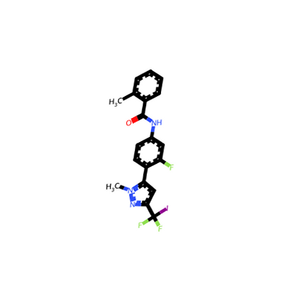 Cc1ccccc1C(=O)Nc1ccc(-c2cc(C(F)(F)I)nn2C)c(F)c1